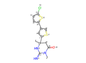 CN1C(=N)NC(C)(c2cc(-c3ccc(Cl)s3)cs2)CC1=O